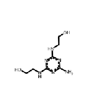 Nc1nc(NCCO)nc(NCCO)n1